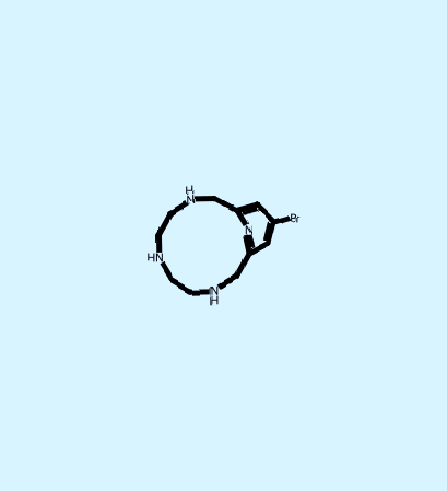 Brc1cc2nc(c1)CNCCNCCNC2